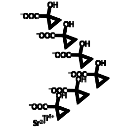 O=C([O-])C1(O)CC1.O=C([O-])C1(O)CC1.O=C([O-])C1(O)CC1.O=C([O-])C1(O)CC1.O=C([O-])C1(O)CC1.O=C([O-])C1(O)CC1.[Sr+2].[Ti+4]